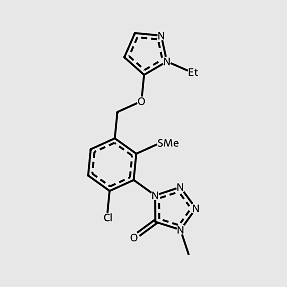 CCn1nccc1OCc1ccc(Cl)c(-n2nnn(C)c2=O)c1SC